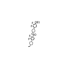 C=CC1CCC(c2ccc(C(=O)OC3CCC(c4ccc(OCC)c(F)c4F)CC3)c(F)c2F)CC1